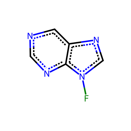 Fn1cnc2cncnc21